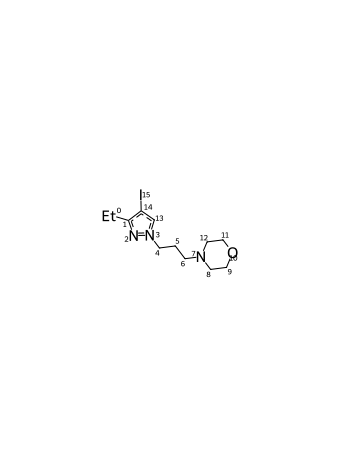 CCc1nn(CCCN2CCOCC2)cc1I